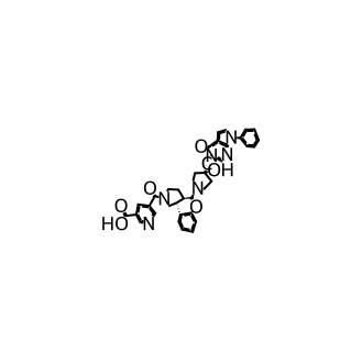 O=C(O)c1cncc(C(=O)N2CC[C@@H](C(=O)N3CCC(O)(Cn4cnc5c(ccn5-c5ccccc5)c4=O)CC3)[C@H](c3ccccc3)C2)c1